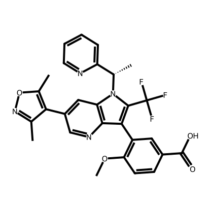 COc1ccc(C(=O)O)cc1-c1c(C(F)(F)F)n([C@@H](C)c2ccccn2)c2cc(-c3c(C)noc3C)cnc12